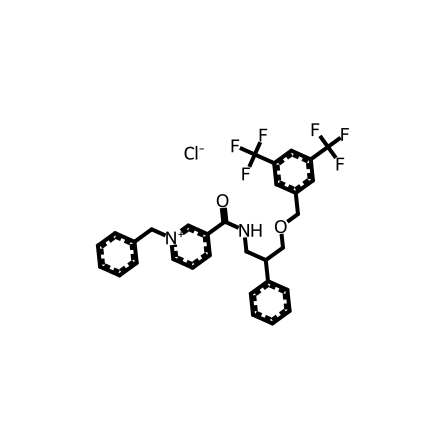 O=C(NCC(COCc1cc(C(F)(F)F)cc(C(F)(F)F)c1)c1ccccc1)c1ccc[n+](Cc2ccccc2)c1.[Cl-]